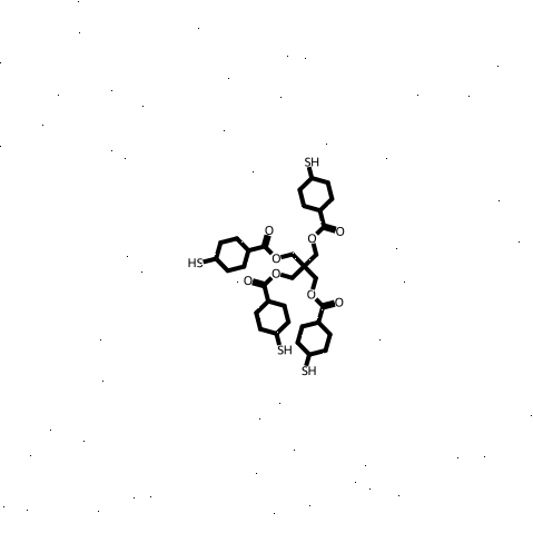 O=C(OCC(COC(=O)C1CCC(S)CC1)(COC(=O)C1CCC(S)CC1)COC(=O)C1CCC(S)CC1)C1CCC(S)CC1